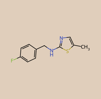 Cc1cnc(NCc2ccc(F)cc2)s1